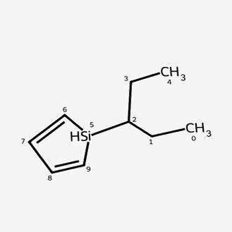 CCC(CC)[SiH]1C=CC=C1